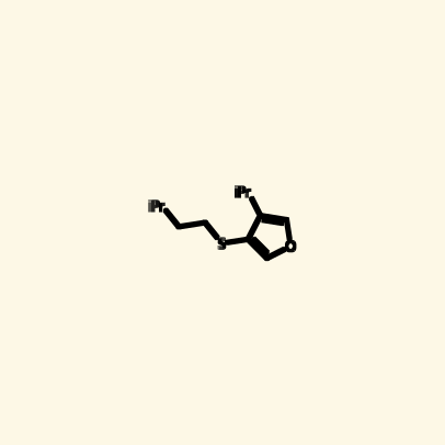 CC(C)CCSc1cocc1C(C)C